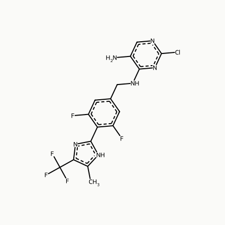 Cc1[nH]c(-c2c(F)cc(CNc3nc(Cl)ncc3N)cc2F)nc1C(F)(F)F